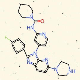 O=C(Nc1cc(-n2c(-c3ccc(F)cc3)nc3ccc(N4CCNCC4)nc32)ccn1)N1CCCCC1